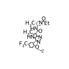 CCC(=O)N1C[C@@H](C)[C@H](NC(=O)c2c(C)[nH]c3c(-c4cc(C(F)(F)F)ccc4OCC4CC4)ncnc23)C1